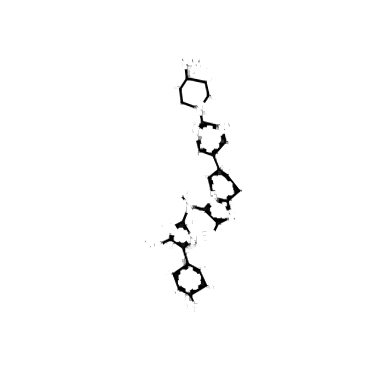 CCc1nc2ccc(-c3cnc(N4CCC(NC)CC4)nc3)cn2c1N(C)c1nc(-c2ccc(F)cc2)c(C#N)s1